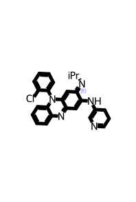 CC(C)/N=c1\cc2n(-c3ccccc3Cl)c3ccccc3nc-2cc1NC1=CN=CCC1